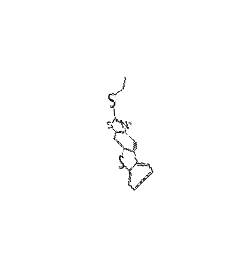 CCSc1sc2cc3sc4ccccc4c3cc2[n+]1C